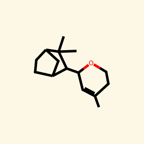 CC1=CC(C2C3CCC(C3)C2(C)C)OCC1